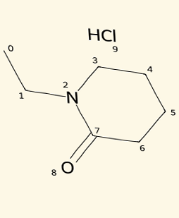 CCN1CCCCC1=O.Cl